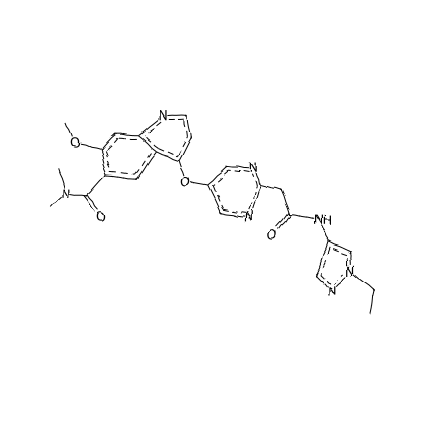 CCn1cc(NC(=O)Cc2ncc(Oc3ccnc4cc(OC)c(C(=O)N(C)C)cc34)cn2)cn1